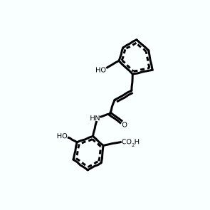 O=C(C=Cc1ccccc1O)Nc1c(O)cccc1C(=O)O